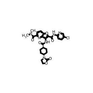 CN(C)C(=O)c1ccc2oc(C(=O)Nc3ccc(Cl)cn3)c(NC(=O)[C@H]3CC[C@H](N4CCOC4=O)CC3)c2n1